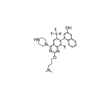 CN(C)CCCOc1nc(N2CCNCC2)c2cc(C(F)(F)F)c(-c3cc(O)cc4ccccc34)c(F)c2n1